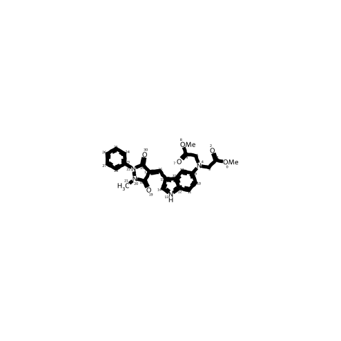 COC(=O)CN(CC(=O)OC)c1ccc2[nH]cc(C=C3C(=O)N(C)N(c4ccccc4)C3=O)c2c1